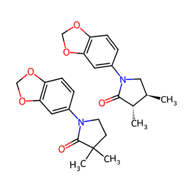 CC1(C)CCN(c2ccc3c(c2)OCO3)C1=O.C[C@@H]1CN(c2ccc3c(c2)OCO3)C(=O)[C@H]1C